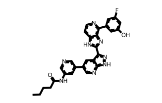 CCCCC(=O)Nc1cncc(-c2cnc3[nH]nc(-c4nc5c(-c6cc(O)cc(F)c6)nccc5[nH]4)c3c2)c1